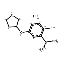 C[C@H](N)c1cc(OC2CCOC2)ccc1F.Cl